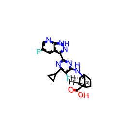 O=C(O)[C@H]1C2CCC(CC2)[C@@H]1Nc1nc(-c2n[nH]c3ncc(F)cc23)nc(C2CC2)c1F